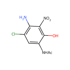 CC(=O)Nc1cc(Cl)c(N)c([N+](=O)[O-])c1O